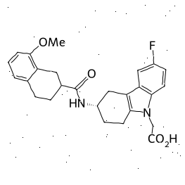 COc1cccc2c1CC(C(=O)N[C@H]1CCc3c(c4cc(F)ccc4n3CC(=O)O)C1)CC2